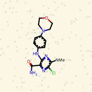 CNc1nc(Nc2ccc(N3CCOCC3)cc2)c(C(N)=O)nc1Cl